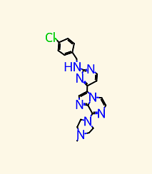 CN1CCN(c2nccn3c(-c4ccnc(NCc5ccc(Cl)cc5)n4)cnc23)CC1